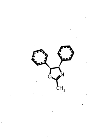 CC1=N[C@H](c2ccccc2)[C@H](c2ccccc2)O1